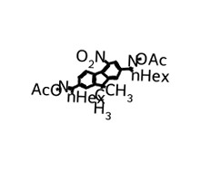 CCCCCC/C(=N\OC(C)=O)c1ccc2c(c1)C(C)(C)c1cc(/C(CCCCCC)=N/OC(C)=O)cc([N+](=O)[O-])c1-2